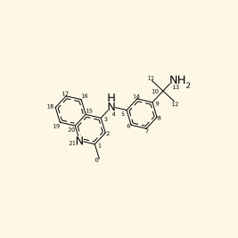 Cc1cc(Nc2cccc(C(C)(C)N)c2)c2ccccc2n1